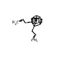 C=CC[C]12[CH]3[CH]4[CH]5[C]1(CC=C)[Fe]43521678[CH]2[CH]1[CH]6[CH]7[CH]28